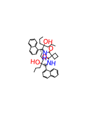 CCCC(O)(CCC)[C@@H](NC(=O)C1(C(=O)N[C@@H](c2cccc3ccccc23)C(O)(CCC)CCC)CCC1)c1cccc2ccccc12